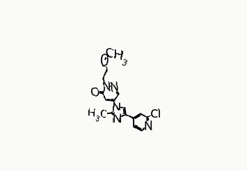 COCCn1ncc(-n2cc(-c3ccnc(Cl)c3)nc2C)cc1=O